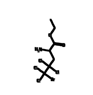 CCOC(=O)C(N)CC(Cl)(Cl)C(Cl)(Cl)Br